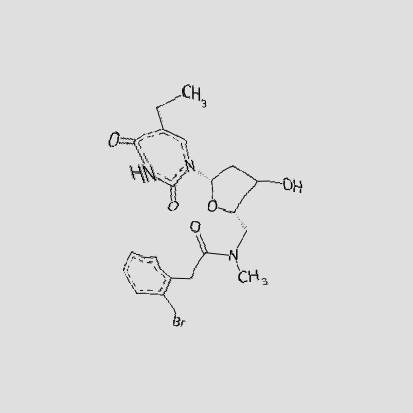 CCc1cn([C@@H]2CC(O)[C@H](CN(C)C(=O)Cc3ccccc3Br)O2)c(=O)[nH]c1=O